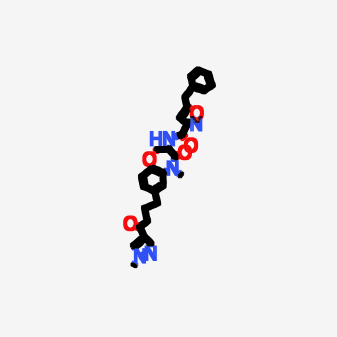 CN1C(=O)[C@@H](NC(=O)c2cc(Cc3ccccc3)on2)COc2ccc(CCCC(=O)c3cnn(C)c3)cc21